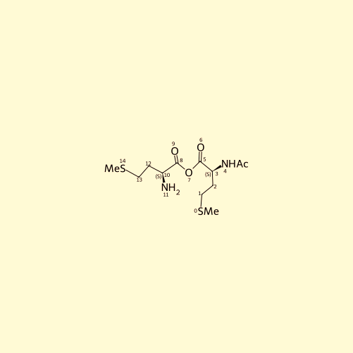 CSCC[C@H](NC(C)=O)C(=O)OC(=O)[C@@H](N)CCSC